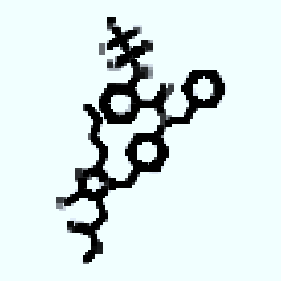 CCCCc1nc(Cl)c(CC(=O)OC)n1Cc1ccc(N(Cc2ccccc2)C(=O)c2ccccc2NS(=O)(=O)C(F)(F)F)cc1